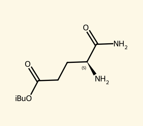 CC(C)COC(=O)CC[C@H](N)C(N)=O